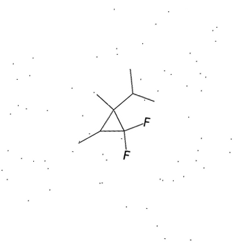 CC(C)C1(C)C(C)C1(F)F